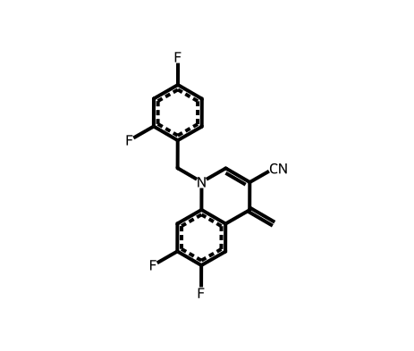 C=C1C(C#N)=CN(Cc2ccc(F)cc2F)c2cc(F)c(F)cc21